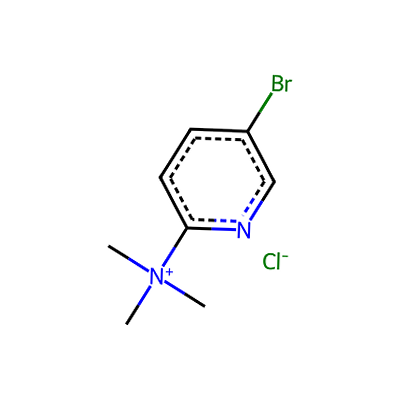 C[N+](C)(C)c1ccc(Br)cn1.[Cl-]